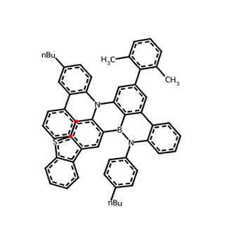 CCCCc1ccc(N2B3c4cc5c(cc4N(c4ccc(CCCC)cc4-c4ccccc4)c4cc(-c6c(C)cccc6C)cc(c43)-c3ccccc32)sc2ccccc25)cc1